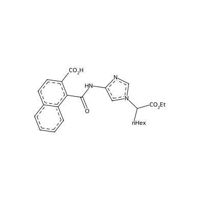 CCCCCCC(C(=O)OCC)n1cnc(NC(=O)c2c(C(=O)O)ccc3ccccc23)c1